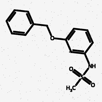 CS(=O)(=O)Nc1[c]c(OCc2ccccc2)ccc1